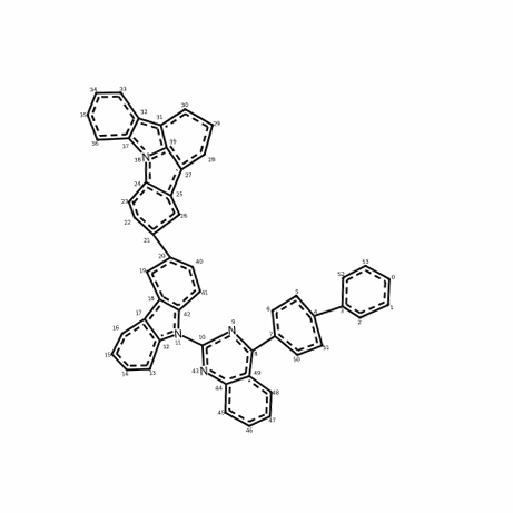 c1ccc(-c2ccc(-c3nc(-n4c5ccccc5c5cc(-c6ccc7c(c6)c6cccc8c9ccccc9n7c86)ccc54)nc4ccccc34)cc2)cc1